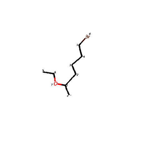 [CH2]C(CCCCBr)OCC